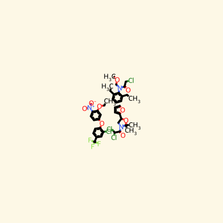 CC1(C)OC(c2ccco2)CN1C(=O)C(Cl)Cl.CCOc1cc(Oc2ccc(C(F)(F)F)cc2Cl)ccc1[N+](=O)[O-].CCc1cccc(CC)c1N(COC)C(=O)CCl